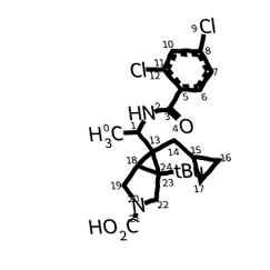 CC(NC(=O)c1ccc(Cl)cc1Cl)C1(CC2CC2)C2CN(C(=O)O)CC21C(C)(C)C